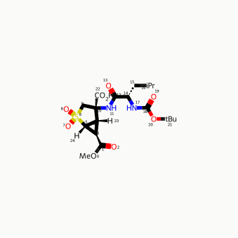 COC(=O)[C@@H]1[C@@H]2[C@H]1S(=O)(=O)C[C@@]2(NC(=O)[C@H](CC(C)C)NC(=O)OC(C)(C)C)C(=O)O